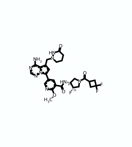 COc1ncc(-c2cc(CN3CCCC(=O)N3)c3c(N)ncnn23)cc1C(=O)N[C@@H]1CN(C(=O)C2CC(F)(F)C2)C[C@@H]1F